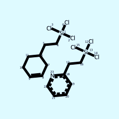 Cl[Si](Cl)(Cl)CCC1CC=CCC1.Cl[Si](Cl)(Cl)CCc1ccccn1